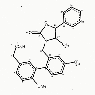 COc1ccc(CC(=O)O)cc1-c1ccc(C(F)(F)F)cc1CN1C(=O)OC(c2ccccc2)C1C